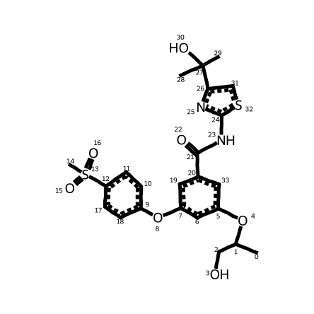 CC(CO)Oc1cc(Oc2ccc(S(C)(=O)=O)cc2)cc(C(=O)Nc2nc(C(C)(C)O)cs2)c1